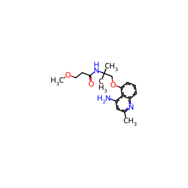 COCCC(=O)NC(C)(C)COc1cccc2nc(C)cc(N)c12